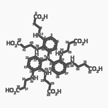 O=C(O)CCNc1cccc(N(c2cccc(NCCC(=O)O)c2NCCC(=O)O)c2cccc(NCCC(=O)O)c2NCCC(=O)O)c1NCCC(=O)O